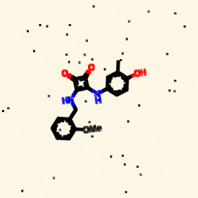 COc1ccccc1CNc1c(Nc2ccc(O)c(C)c2)c(=O)c1=O